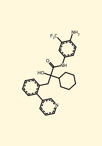 Nc1ccc(NC(=O)C(O)(Cc2ccccc2-c2cccnc2)C2CCCCC2)cc1C(F)(F)F